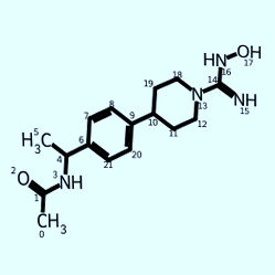 CC(=O)NC(C)c1ccc(C2CCN(C(=N)NO)CC2)cc1